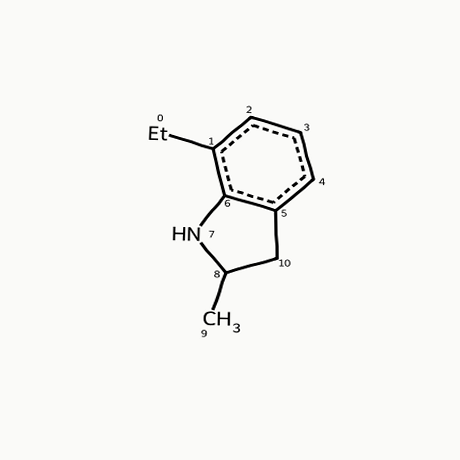 CCc1cccc2c1NC(C)C2